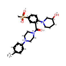 CS(=O)(=O)c1ccc(N2CCCC(O)C2)c(C(=O)N2CCN(c3ccc(C(F)(F)F)cc3)CC2)c1